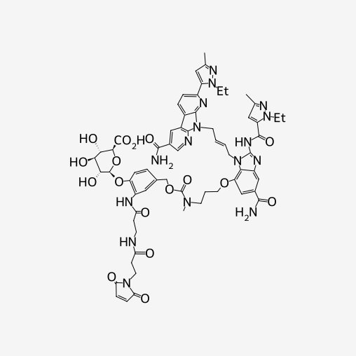 CCn1nc(C)cc1C(=O)Nc1nc2cc(C(N)=O)cc(OCCCN(C)C(=O)OCc3ccc(O[C@@H]4O[C@H](C(=O)O)[C@@H](O)[C@H](O)[C@H]4O)c(NC(=O)CCNC(=O)CCN4C(=O)C=CC4=O)c3)c2n1C/C=C/Cn1c2ncc(C(N)=O)cc2c2ccc(-c3cc(C)nn3CC)nc21